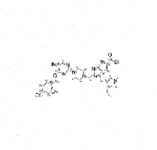 CCn1cncc1Cn1c(CN2CCN(c3ncc(F)c(OCc4ccc(Cl)cc4F)n3)CC2)nc2sc(C(=O)O)cc21